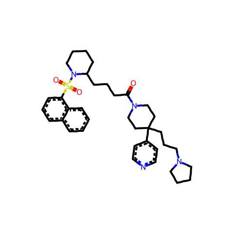 O=C(CCCC1CCCCN1S(=O)(=O)c1cccc2ccccc12)N1CCC(CCCN2CCCC2)(c2ccncc2)CC1